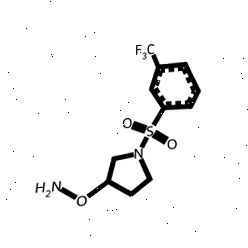 NOC1CCN(S(=O)(=O)c2cccc(C(F)(F)F)c2)C1